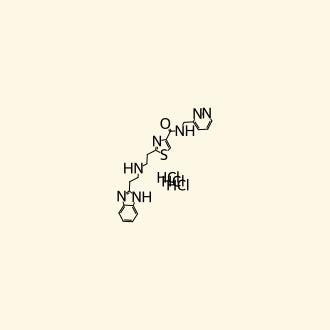 Cl.Cl.Cl.O=C(NCc1cccnn1)c1csc(CCNCCc2nc3ccccc3[nH]2)n1